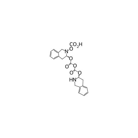 O=C(O)ON1Cc2ccccc2C[C@@H]1OC(=O)OC(=O)O[C@H]1Cc2ccccc2CN1